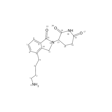 NCCCCc1cccc2c1CN(C1CCC(=O)NC1=O)C2=O